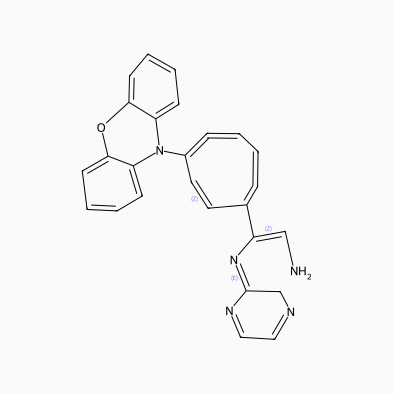 N/C=C(\N=C1/CN=CC=N1)C1=C=CC=C=C(N2c3ccccc3Oc3ccccc32)/C=C\1